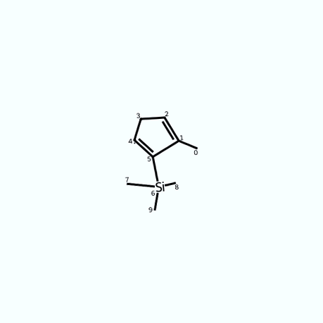 CC1=CC[C]=C1[Si](C)(C)C